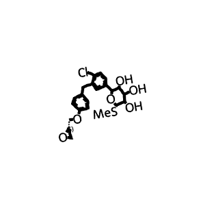 CSC1OC(c2ccc(Cl)c(Cc3ccc(OC[C@@H]4CO4)cc3)c2)C(O)C(O)C1O